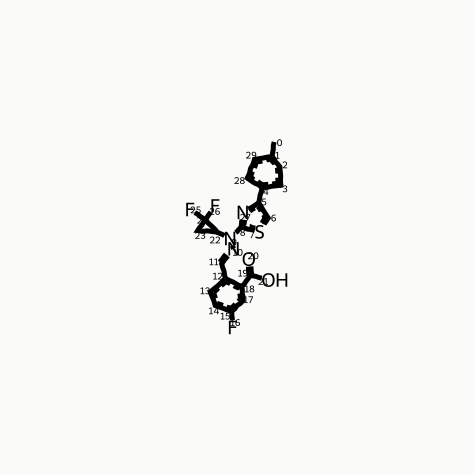 Cc1ccc(-c2csc(N(/N=C/c3ccc(F)cc3C(=O)O)C3CC3(F)F)n2)cc1